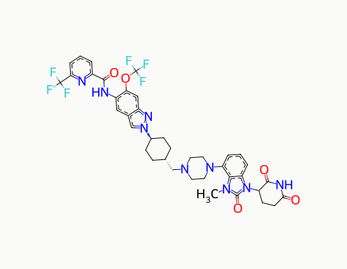 Cn1c(=O)n(C2CCC(=O)NC2=O)c2cccc(N3CCN(C[C@H]4CC[C@H](n5cc6cc(NC(=O)c7cccc(C(F)(F)F)n7)c(OC(F)(F)F)cc6n5)CC4)CC3)c21